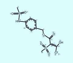 CS(=O)(=O)Nc1ccc(COC(=O)/C(=C(\O)C(F)(F)F)S(C)(=O)=O)cc1